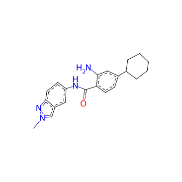 Cn1cc2cc(NC(=O)c3ccc(C4CCCCC4)cc3N)ccc2n1